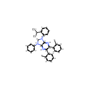 CCC(CC)c1ccccc1N1CN(c2ccccc2)c2nc(-c3ccccc3C)c(-c3ccccc3C)nc21